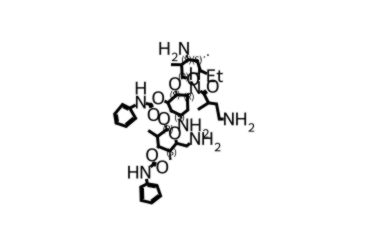 CCC1O[C@H](O[C@@H]2C(OC(=O)Nc3ccccc3)C(O[C@H]3OC(CN)[C@@H](C)C(OC(=O)Nc4ccccc4)C3C)[C@@H](N)C[C@H]2NC(=O)C(C)CCN)C(C)[C@@H](N)[C@@H]1C